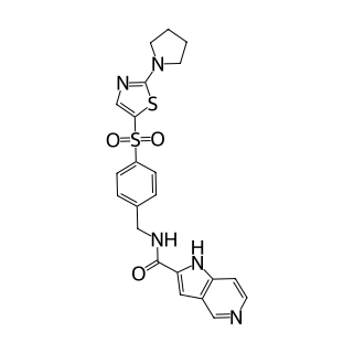 O=C(NCc1ccc(S(=O)(=O)c2cnc(N3CCCC3)s2)cc1)c1cc2cnccc2[nH]1